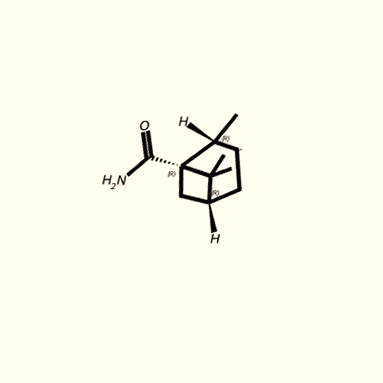 C[C@@H]1[CH]C[C@@H]2C[C@]1(C(N)=O)C2(C)C